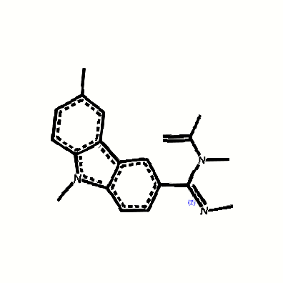 C=C(C)N(C)/C(=N\C)c1ccc2c(c1)c1cc(C)ccc1n2C